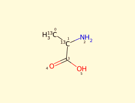 [13CH3][13CH](N)C(=O)O